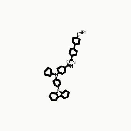 CC(C)Oc1ccc(-c2ccc(-c3nnc(-c4ccc(N(c5ccccc5)c5ccc(-n6c7ccccc7c7ccccc76)cc5)cc4)o3)cc2)cc1